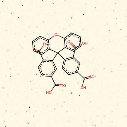 O=C(O)c1ccc(C2(c3cc(C(=O)O)ccc3C(=O)O)c3ccccc3Oc3ccccc32)c(C(=O)O)c1